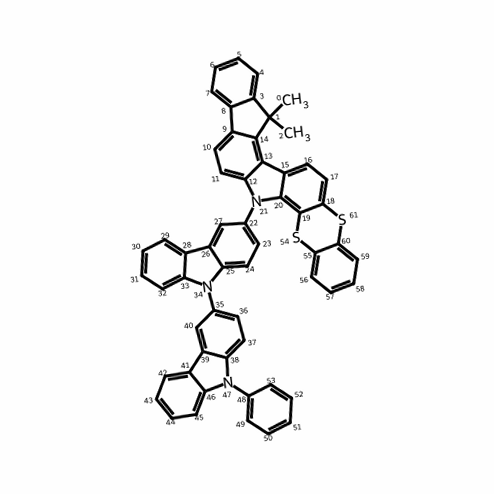 CC1(C)c2ccccc2-c2ccc3c(c21)c1ccc2c(c1n3-c1ccc3c(c1)c1ccccc1n3-c1ccc3c(c1)c1ccccc1n3-c1ccccc1)Sc1ccccc1S2